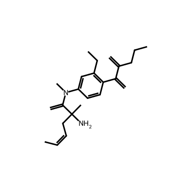 C=C(CCC)C(=C)c1ccc(N(C)C(=C)C(C)(N)C/C=C\C)cc1CC